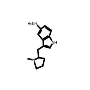 CC(=O)Nc1ccc2[nH]cc(CC3CCCN3C)c2c1